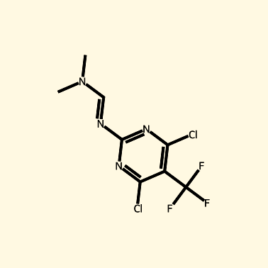 CN(C)C=Nc1nc(Cl)c(C(F)(F)F)c(Cl)n1